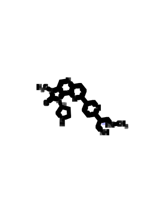 CN/C=C(\C=N)c1ccc(-c2ccc3ncc4c(c3n2)n([C@H]2CCNC2)c(=O)n4C)cn1